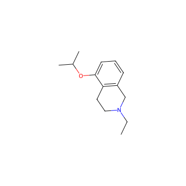 CCN1CCc2c(cccc2OC(C)C)C1